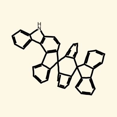 c1ccc2c(c1)-c1ccccc1C21c2ccccc2C2(c3ccccc3-c3c2ccc2[nH]c4ccccc4c32)c2ccccc21